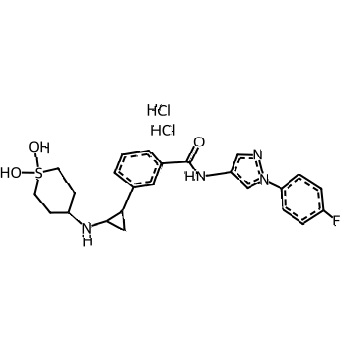 Cl.Cl.O=C(Nc1cnn(-c2ccc(F)cc2)c1)c1cccc(C2CC2NC2CCS(O)(O)CC2)c1